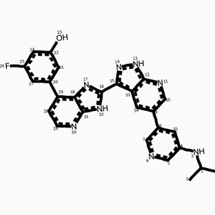 CC(C)Nc1cncc(-c2cnc3[nH]nc(-c4nc5c(-c6cc(O)cc(F)c6)ccnc5[nH]4)c3c2)c1